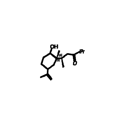 C=C(C)C1CCC(O)[C@](C)([C@H](C)CC(=O)C(C)C)C1